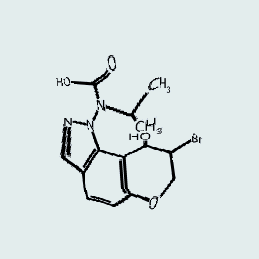 CC(C)N(C(=O)O)n1ncc2ccc3c(c21)C(O)C(Br)CO3